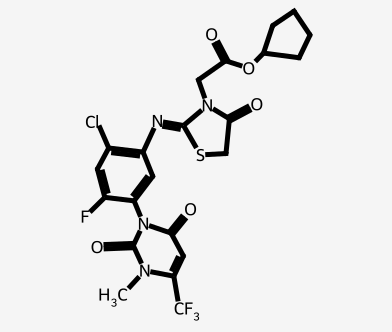 Cn1c(C(F)(F)F)cc(=O)n(-c2cc(N=C3SCC(=O)N3CC(=O)OC3CCCC3)c(Cl)cc2F)c1=O